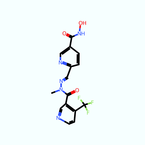 CN(N=Cc1ccc(C(=O)NO)cn1)C(=O)c1cnccc1C(F)(F)F